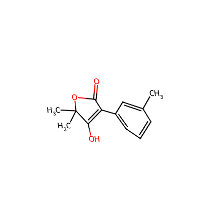 Cc1cccc(C2=C(O)C(C)(C)OC2=O)c1